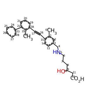 Cc1cc(CNCCCC(O)CC(=O)O)ccc1C#Cc1cccc(-c2ccccc2)c1C